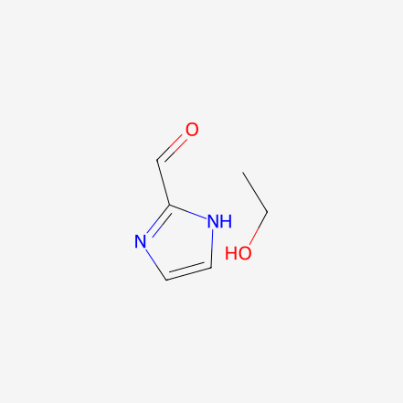 CCO.O=Cc1ncc[nH]1